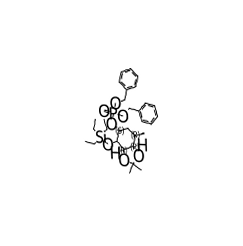 CC[Si](CC)(CC)OC1[C@@H](OP(=O)(OCc2ccccc2)OCc2ccccc2)C[C@@H](C)[C@H]2OC(C)(C)O[C@@H]12